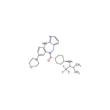 CC(C)C(N[C@H]1CC[C@H](C(=O)N2Cc3cccnc3Nc3ccc(N4CCOCC4)cc32)CC1)C(F)(F)F